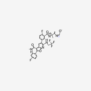 C=C(/N=C\OC)C(C)(C)NC(=O)c1cc(-c2cc3c(C(=O)NC)c(-c4ccc(F)cc4)oc3nc2NCC(F)(F)F)ccc1F